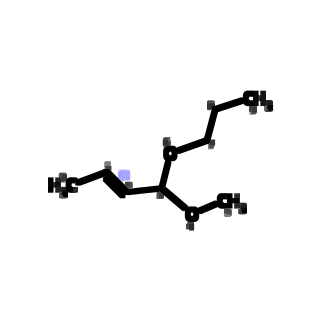 C/C=C/C(OC)OCCC